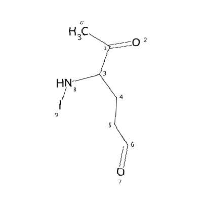 CC(=O)C(CCC=O)NI